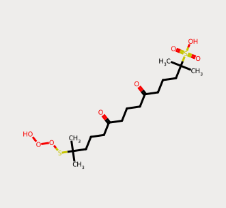 CC(C)(CCCC(=O)CCCC(=O)CCCC(C)(C)S(=O)(=O)O)SOOO